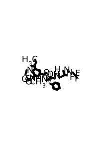 CCc1cn2c3c(cc(C(=O)N[C@@H](Cc4ccccc4)[C@H](O)CNCc4cnn(CC(F)(F)F)c4)cc13)N(C)S(=O)(=O)CC2